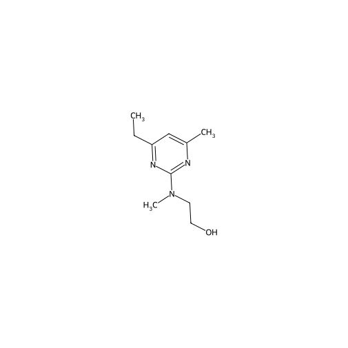 CCc1cc(C)nc(N(C)CCO)n1